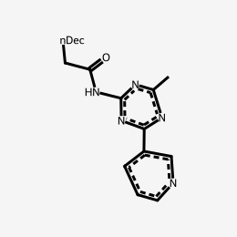 CCCCCCCCCCCC(=O)Nc1nc(C)nc(-c2cccnc2)n1